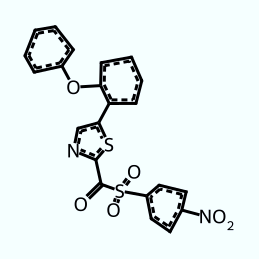 O=C(c1ncc(-c2ccccc2Oc2ccccc2)s1)S(=O)(=O)c1ccc([N+](=O)[O-])cc1